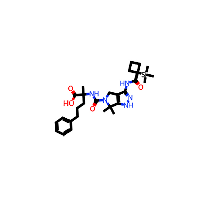 CC(CCCc1ccccc1)(NC(=O)N1Cc2c(NC(=O)C3([Si](C)(C)C)CCC3)n[nH]c2C1(C)C)C(=O)O